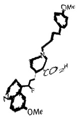 COc1ccc(CCCCN2CC[C@@H](CCC(F)c3ccnc4ccc(OC)cc34)[C@@H](C(=O)O)C2)cc1